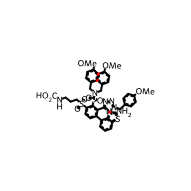 COc1ccc(CN(Cc2ccc(OC)cc2)S(=O)(=O)c2c(S(=O)(=O)CCCNC(=O)O)ccc(-c3cccc4sc(N)nc34)c2-c2nnn(Cc3ccc(OC)cc3)n2)cc1